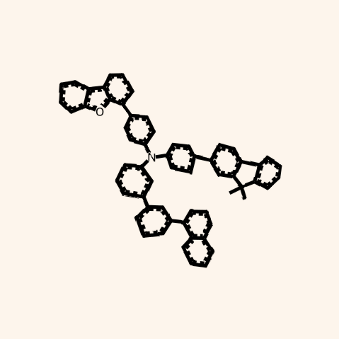 CC1(C)c2ccccc2-c2ccc(-c3ccc(N(c4ccc(-c5cccc6c5oc5ccccc56)cc4)c4cccc(-c5cccc(-c6cccc7ccccc67)c5)c4)cc3)cc21